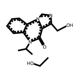 CC(C)n1c(=O)c2c(CO)ncn2c2ccccc21.CCO